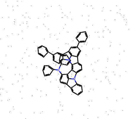 c1ccc(-c2ccc3c(c2)c2cc(-c4ccccc4)cc4c5ccc6c(c7c(N(c8ccccc8)c8ccccc8)ccc8c9ccccc9n6c87)c5n3c24)cc1